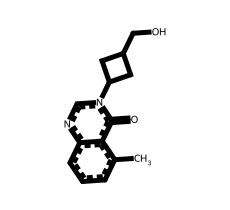 Cc1cccc2ncn(C3CC(CO)C3)c(=O)c12